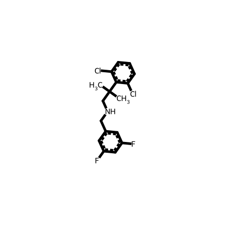 CC(C)(CNCc1cc(F)cc(F)c1)c1c(Cl)cccc1Cl